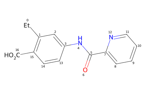 CCc1cc(NC(=O)c2ccccn2)ccc1C(=O)O